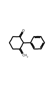 C=C1CCCC(=O)C1c1ccccc1